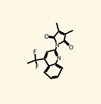 CC1=C(C)C(=O)N(c2cc(C(C)(F)F)c3ccccc3n2)C1=O